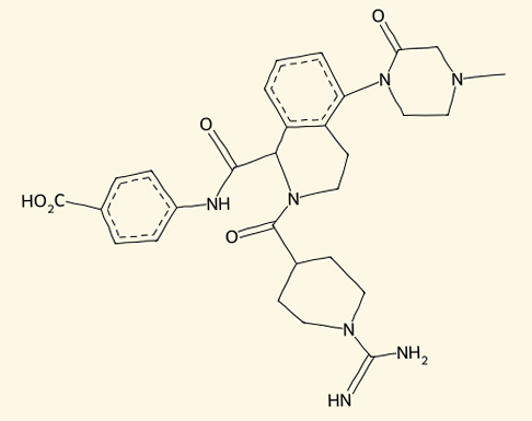 CN1CCN(c2cccc3c2CCN(C(=O)C2CCN(C(=N)N)CC2)C3C(=O)Nc2ccc(C(=O)O)cc2)C(=O)C1